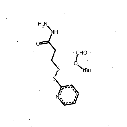 CC(C)(C)OC=O.NNC(=O)CCSSc1ccccn1